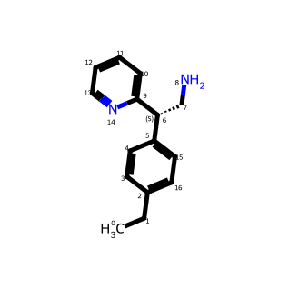 CCc1ccc([C@@H](CN)c2ccccn2)cc1